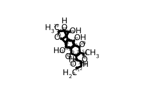 C=C1C[C@@H]2O[C@@H](C)C3=C(C(=O)c4c(O)c5c(c(O)c4C3=O)C34C5OC(C)C3(O)C4O)[C@@H]2O1